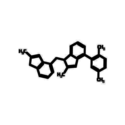 CC1=Cc2c(cccc2CC2C(C)=Cc3c(-c4cc(C)ccc4C)cccc32)C1